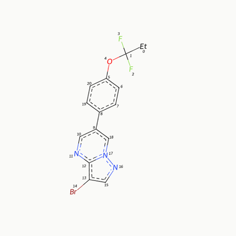 CCC(F)(F)Oc1ccc(-c2cnc3c(Br)cnn3c2)cc1